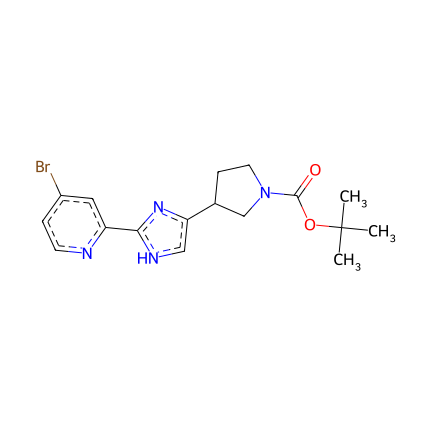 CC(C)(C)OC(=O)N1CCC(c2c[nH]c(-c3cc(Br)ccn3)n2)C1